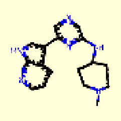 CN1CCC(Nc2cncc(-c3c[nH]c4ncccc34)n2)CC1